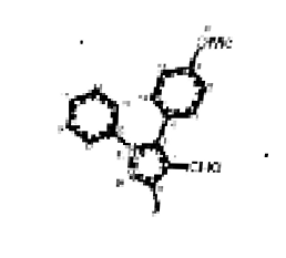 COc1ccc(-c2c(C=O)c(C)nn2-c2ccccc2)cc1